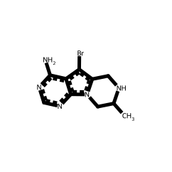 CC1Cn2c(c(Br)c3c(N)ncnc32)CN1